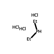 CCPCC.Cl.Cl.Cl